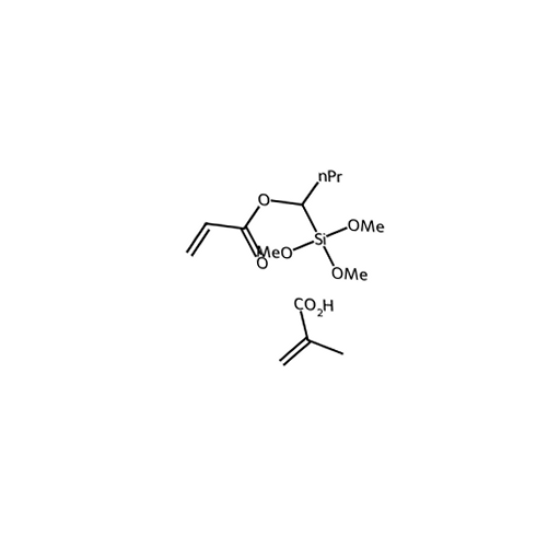 C=C(C)C(=O)O.C=CC(=O)OC(CCC)[Si](OC)(OC)OC